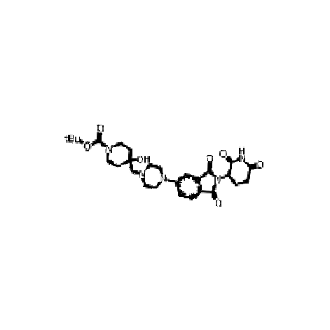 CC(C)(C)OC(=O)N1CCC(O)(CN2CCN(c3ccc4c(c3)C(=O)N(C3CCC(=O)NC3=O)C4=O)CC2)CC1